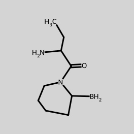 BC1CCCCN1C(=O)C(N)CC